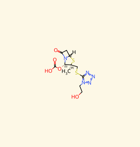 C[C@@]1(CSc2nnnn2CCO)S[C@H]2CC(=O)N2[C@H]1OC(=O)O